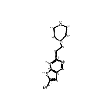 Brc1cc2cnc(CCN3CCOCC3)nc2s1